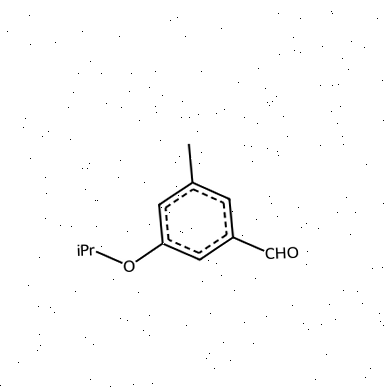 Cc1cc(C=O)cc(OC(C)C)c1